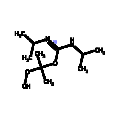 CC(C)/N=C(/NC(C)C)OC(C)(C)OO